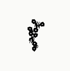 c1ccc(-c2nc(-c3ccccc3)nc(-c3cccc(-n4c5ccccc5c5ccc6c(c7ccccc7n6-c6ccnc(-c7ccc8oc9ccccc9c8c7)n6)c54)c3)n2)cc1